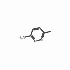 Nc1ccc(I)nn1